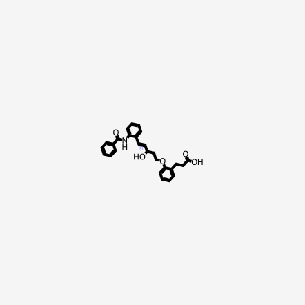 O=C(O)CCc1ccccc1OCCC(O)/C=C/c1ccccc1NC(=O)c1ccccc1